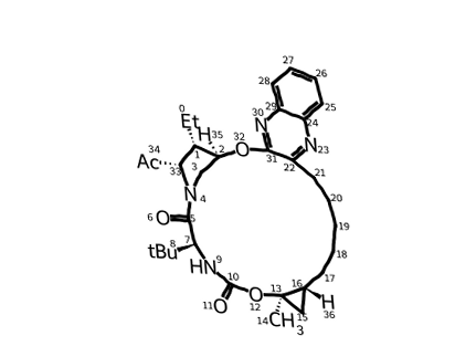 CC[C@@H]1[C@@H]2CN(C(=O)[C@H](C(C)(C)C)NC(=O)O[C@]3(C)C[C@H]3CCCCCc3nc4ccccc4nc3O2)[C@@H]1C(C)=O